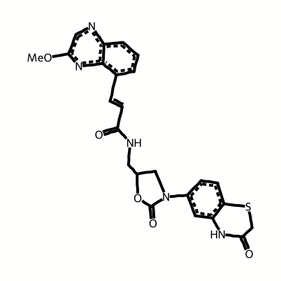 COc1cnc2cccc(C=CC(=O)NCC3CN(c4ccc5c(c4)NC(=O)CS5)C(=O)O3)c2n1